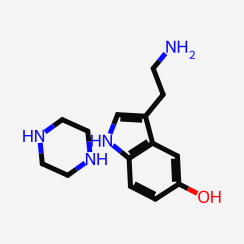 C1CNCCN1.NCCc1c[nH]c2ccc(O)cc12